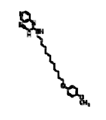 COc1ccc(OCCCCCCCCCCCCN/C(=N/c2ccncc2)NC#N)cc1